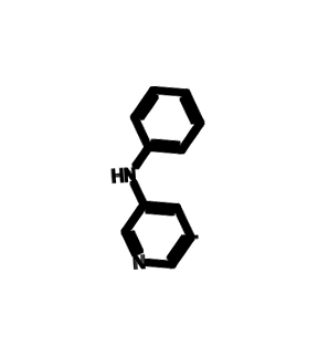 [c]1cncc(Nc2ccccc2)c1